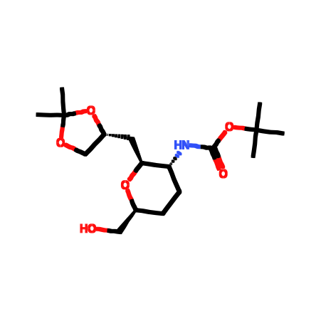 CC(C)(C)OC(=O)N[C@@H]1CC[C@@H](CO)O[C@H]1C[C@@H]1COC(C)(C)O1